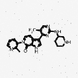 Cc1ncccc1-n1ccc2c(-c3nc(NC4CCCNC4)ncc3C(F)(F)F)c[nH]c2c1=O